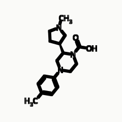 Cc1ccc(N2CCN(C(=O)O)C([C@H]3CCN(C)C3)C2)cc1